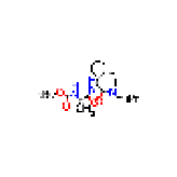 CC(C)CN1CCC2CCC=CC2=C(NC(=O)[C@H](C)NC(=O)OC(C)(C)C)C1=O